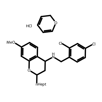 C1=CCOC=C1.CCCCCCCC1CC(NCc2ccc(Cl)cc2Cl)c2ccc(OC)cc2O1.Cl